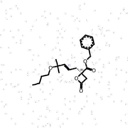 CCCCOC(C)(C)/C=C/C[C@]1(C(=O)OCc2ccccc2)CC(=O)O1